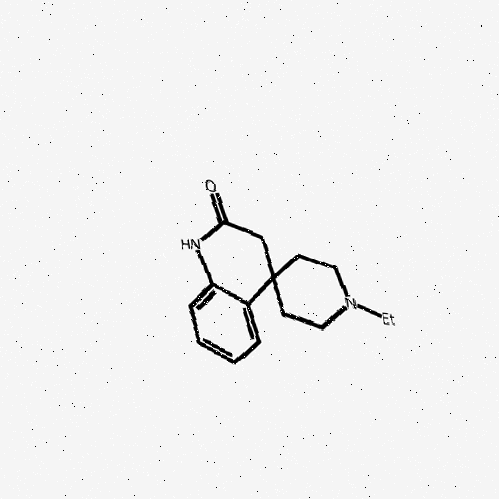 CCN1CCC2(CC1)CC(=O)Nc1ccccc12